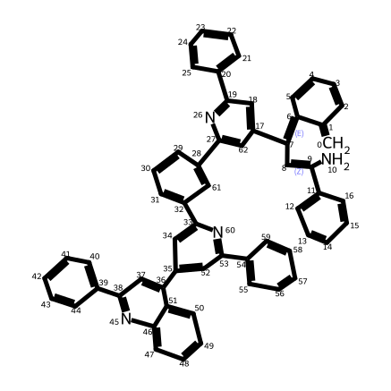 C=c1cccc/c1=C(/C=C(\N)c1ccccc1)c1cc(-c2ccccc2)nc(-c2cccc(-c3cc(-c4cc(-c5ccccc5)nc5ccccc45)cc(-c4ccccc4)n3)c2)c1